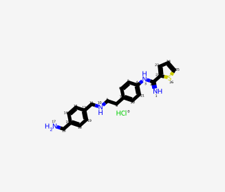 Cl.N=C(Nc1ccc(CCNCc2ccc(CN)cc2)cc1)c1cccs1